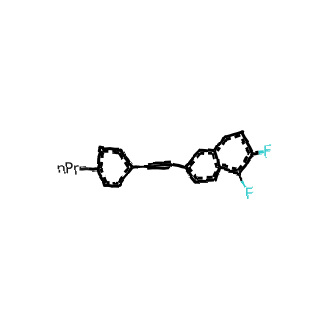 CCCc1ccc(C#Cc2ccc3c(F)c(F)ccc3c2)cc1